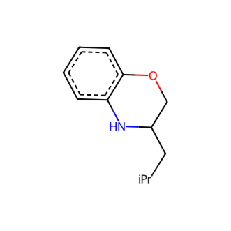 CC(C)CC1COc2ccccc2N1